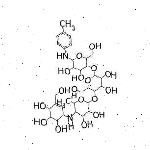 Cc1ccc(NC2OC(CO)C(OC3OC(CO)C(OC4OC(C)C(NC5C=C(CO)C(O)C(O)C5O)C(O)C4O)C(O)C3O)C(O)C2O)cc1